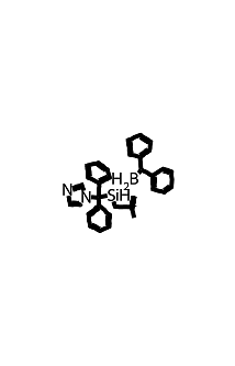 BC(c1ccccc1)c1ccccc1.C=C(C)C[SiH2]C(c1ccccc1)(c1ccccc1)n1ccnc1